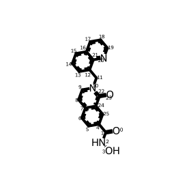 O=C(NO)c1ccc2ccn(Cc3cccc4cccnc34)c(=O)c2c1